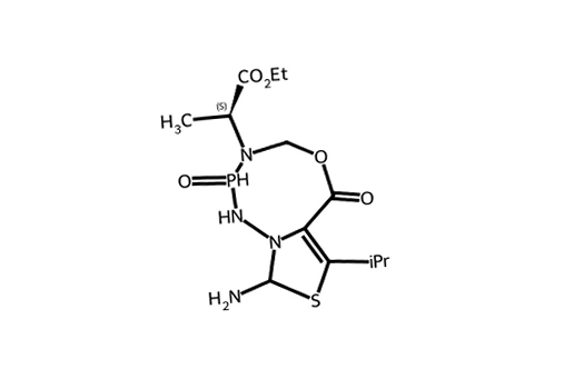 CCOC(=O)[C@H](C)N1COC(=O)C2=C(C(C)C)SC(N)N2N[PH]1=O